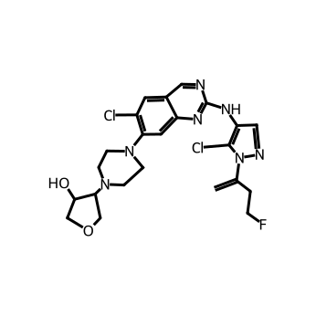 C=C(CCF)n1ncc(Nc2ncc3cc(Cl)c(N4CCN(C5COCC5O)CC4)cc3n2)c1Cl